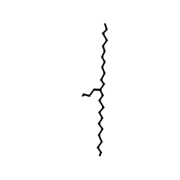 CCCCCCCCCCCCC(CCCS)CCCCCCCCCCCC